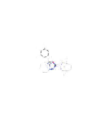 Cc1cc(N2C[C@H]3CC[C@@H](C2)[C@@H]3Nc2nc3n(n2)CCCC[C@@H]3c2ccc(F)c(F)c2F)cnn1